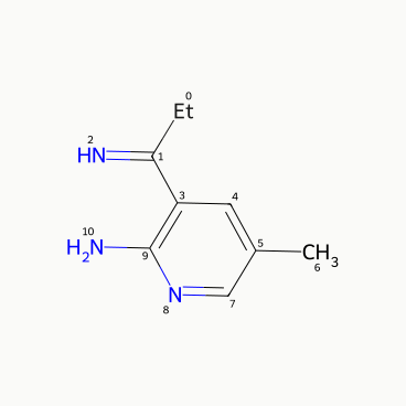 CCC(=N)c1cc(C)cnc1N